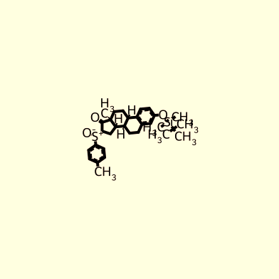 Cc1ccc([S+]([O-])C2C[C@H]3[C@@H]4CCc5cc(O[Si](C)(C)C(C)(C)C)ccc5[C@H]4CC[C@]3(C)C2=O)cc1